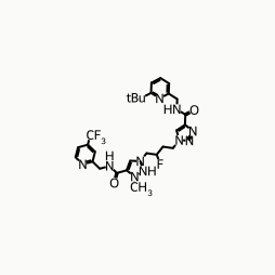 CN1NN(CC(F)CCn2cc(C(=O)NCc3cccc(C(C)(C)C)n3)nn2)C=C1C(=O)NCc1cc(C(F)(F)F)ccn1